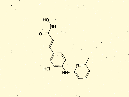 Cc1cccc(Nc2ccc(C=CC(=O)NO)cc2)n1.Cl